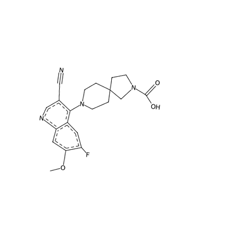 COc1cc2ncc(C#N)c(N3CCC4(CCN(C(=O)O)C4)CC3)c2cc1F